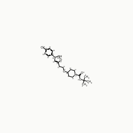 CC(C)(C)OC(=O)N1CCC(OCCC2=CN(c3ccc(Cl)nc3)NO2)CC1